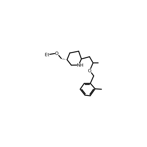 CCOC[C@@H]1CCC(CC(C)OCc2ccccc2C)NC1